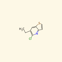 CCc1cc2sccc2nc1Cl